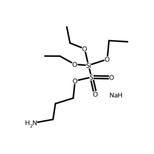 CCO[Si](OCC)(OCC)S(=O)(=O)OCCCN.[NaH]